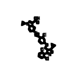 O=C(O)c1cn(C2CC2)c2ccc(N3CC(c4ccc(OCc5c(-c6c(Cl)cccc6Cl)noc5C5CC5)cc4Cl)C3)cc12